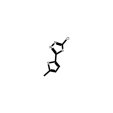 Cc1ccc(-c2nnc(Cl)s2)s1